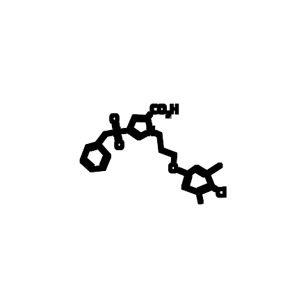 Cc1cc(OCCCn2cc(S(=O)(=O)Cc3ccccc3)cc2C(=O)O)cc(C)c1Cl